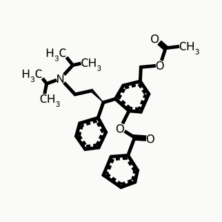 CC(=O)OCc1ccc(OC(=O)c2ccccc2)c([C@H](CCN(C(C)C)C(C)C)c2ccccc2)c1